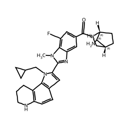 Cn1c(-c2cc3ccc4c(c3n2CC2CC2)CCCN4)nc2cc(C(=O)N3C[C@H]4CC[C@@H]3[C@@H]4N)cc(F)c21